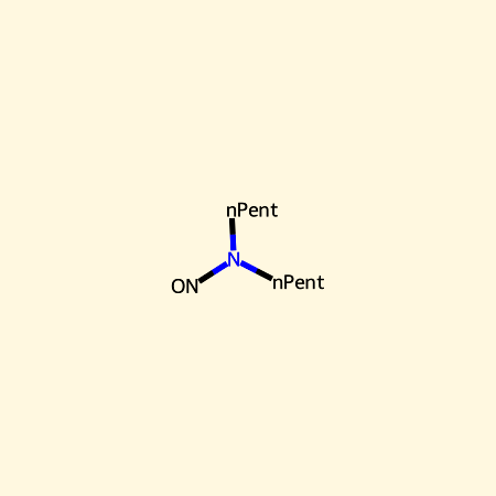 CCCCCN(CCCCC)N=O